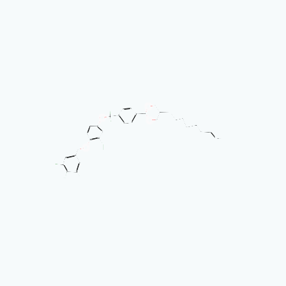 C/C=C/CCCCCCC1COC(c2ccc(C(F)(F)Oc3ccc(OCc4cc(F)c(F)c(F)c4)c(F)c3)cc2)OC1